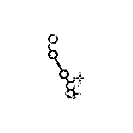 CS(=O)(=O)NCC(Cc1nc[nH]c(=O)c1O)c1ccc(C#Cc2ccc(CN3CCOCC3)cc2)cc1